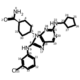 NC(=O)[C@H]1CC[C@H](n2c(Nc3cccc(Cl)c3)nc3cnc(NC4CCCC4)nc32)CC1